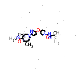 C=C1/C=C\N(c2ccc(OC3CCN(c4nc(C(C)C)no4)CC3)cn2)C/C=C\C(C(=O)N(C)C)=C/1